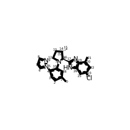 Cc1c[c]c(-n2cccn2)c(N2CC[C@H](C)[C@H]2c2nc3c(C)cc(Cl)cc3[nH]2)c1